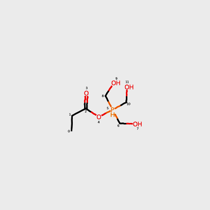 CCC(=O)O[PH](CO)(CO)CO